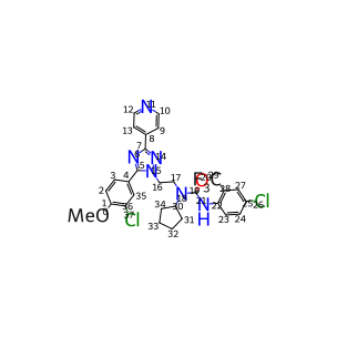 COc1ccc(-c2nc(-c3ccncc3)nn2CCN(C(=O)Nc2ccc(Cl)cc2C(F)(F)F)C2CCCC2)cc1Cl